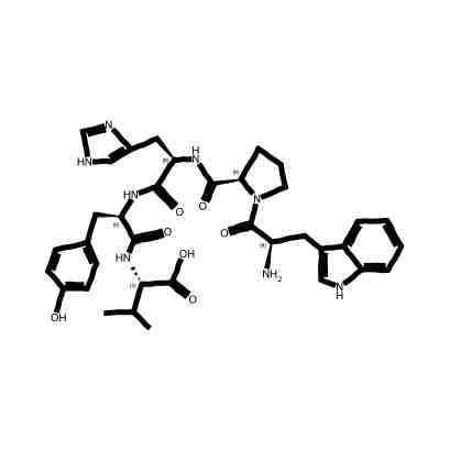 CC(C)[C@H](NC(=O)[C@@H](Cc1ccc(O)cc1)NC(=O)[C@@H](Cc1c[nH]cn1)NC(=O)[C@H]1CCCN1C(=O)[C@H](N)Cc1c[nH]c2ccccc12)C(=O)O